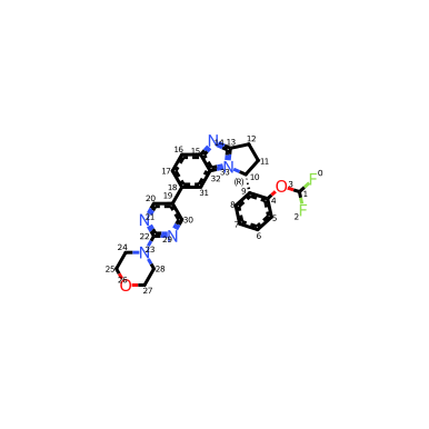 FC(F)Oc1ccccc1[C@H]1CCc2nc3ccc(-c4cnc(N5CCOCC5)nc4)cc3n21